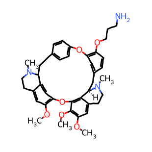 COc1cc2c3cc1Oc1c(OC)c(OC)cc4c1[C@@H](Cc1ccc(OCCCN)c(c1)Oc1ccc(cc1)CC3N(C)CC2)N(C)CC4